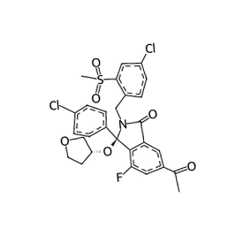 CC(=O)c1cc(F)c2c(c1)C(=O)N(Cc1ccc(Cl)cc1S(C)(=O)=O)[C@@]2(O[C@@H]1CCOC1)c1ccc(Cl)cc1